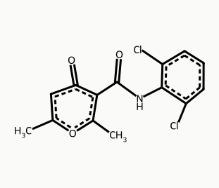 Cc1cc(=O)c(C(=O)Nc2c(Cl)cccc2Cl)c(C)o1